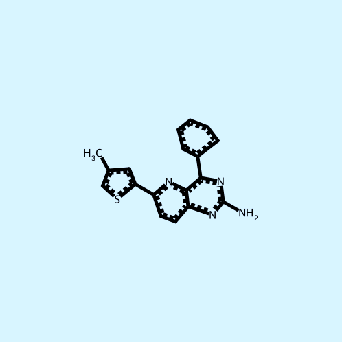 Cc1csc(-c2ccc3nc(N)nc(-c4ccccc4)c3n2)c1